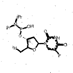 [2H]CC1OC(n2cc(F)c(=O)[nH]c2=O)C[C@H]1OP(O)N(C(C)C)C(C)C